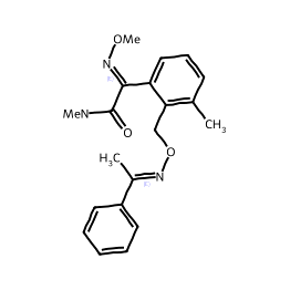 CNC(=O)/C(=N/OC)c1cccc(C)c1CO/N=C(\C)c1ccccc1